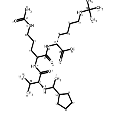 CC(N[C@H](C(=O)NC(CCCNC(N)=O)C(=O)N[C@H](CCCCNC(C)(C)C)C(=O)O)C(C)C)C1CCCC1